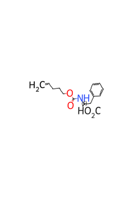 C=CCCCOC(=O)N[C@@H](Cc1ccccc1)C(=O)O